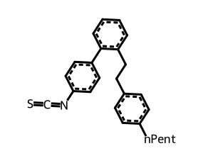 CCCCCc1ccc(CCc2ccccc2-c2ccc(N=C=S)cc2)cc1